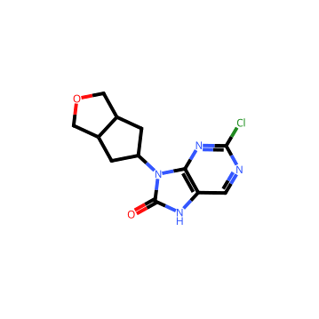 O=c1[nH]c2cnc(Cl)nc2n1C1CC2COCC2C1